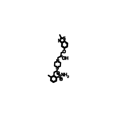 Cc1nc2cc(OC[C@H](O)CN3CCN(CCc4c(C)cccc4S(N)(=O)=O)CC3)ccc2s1